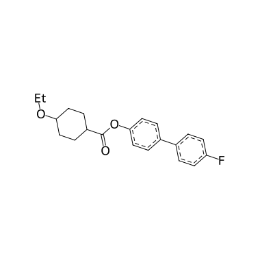 CCOC1CCC(C(=O)Oc2ccc(-c3ccc(F)cc3)cc2)CC1